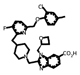 Cc1ccc(OCc2ccc(F)c(CC3CCN(Cc4nc5ccc(C(=O)O)cc5n4C[C@@H]4CCO4)CC3)n2)c(Cl)c1